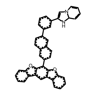 C1=CC2NC(c3cccc(-c4ccc5cc(-c6c7oc8ccccc8c7cc7c6oc6ccccc67)ccc5c4)c3)=CN2C=C1